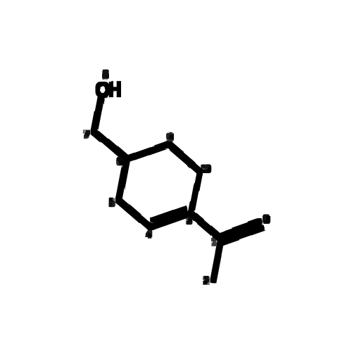 C=C(C)C1=CCC(CO)CC1